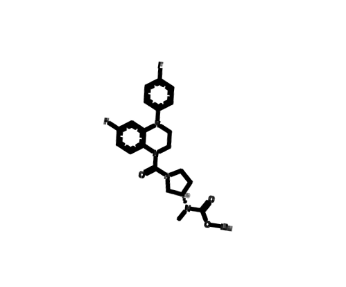 CN(C(=O)OC(C)(C)C)[C@H]1CCN(C(=O)N2CCN(c3ccc(F)cc3)c3cc(F)ccc32)C1